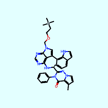 Cc1ccn2nc([C@H](C)Nc3ncnc4c3c(-c3cccc5cc[nH]c35)cn4COCC[Si](C)(C)C)n(-c3ccccc3)c(=O)c12